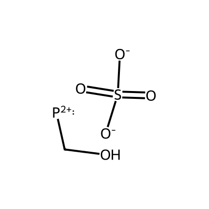 O=S(=O)([O-])[O-].OC[P+2]